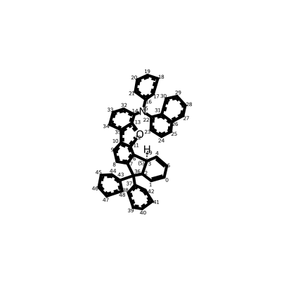 C1=CC2[C@H](C=C1)c1c(ccc3c1oc1c(N(c4ccccc4)c4cccc5ccccc45)cccc13)C2(c1ccccc1)c1ccccc1